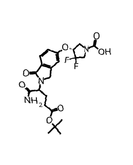 CC(C)(C)OC(=O)CCC(C(N)=O)N1Cc2cc(O[C@@H]3CN(C(=O)O)CC3(F)F)ccc2C1=O